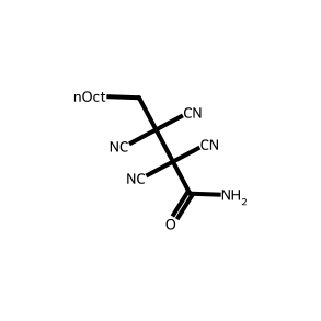 CCCCCCCCCC(C#N)(C#N)C(C#N)(C#N)C(N)=O